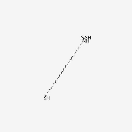 S=C(S)NCCCCCCCCCCCCCCCCCCCCCCCCCCCCCCCCCCCCCS